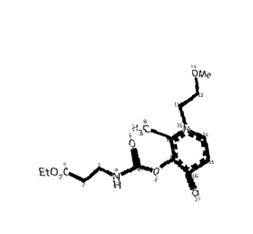 CCOC(=O)CCNC(=O)Oc1c(C)n(CCOC)ccc1=O